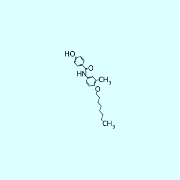 CCCCCCCCOc1ccc(NC(=O)c2ccc(O)cc2)cc1C